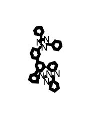 c1ccc(-c2nc(-c3ccccc3)nc(-c3cccc(-c4ccc5c(c4)c4ccccc4n5-c4nc5ccccc5c5nc6ccccc6n45)c3)n2)cc1